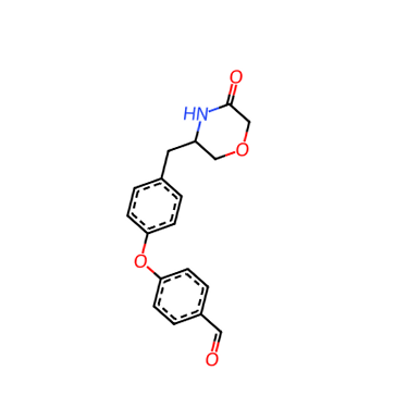 O=Cc1ccc(Oc2ccc(CC3COCC(=O)N3)cc2)cc1